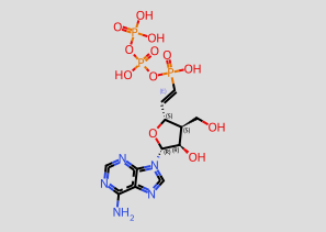 Nc1ncnc2c1ncn2[C@@H]1O[C@H](/C=C/P(=O)(O)OP(=O)(O)OP(=O)(O)O)[C@@H](CO)[C@H]1O